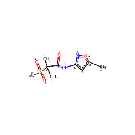 CCC(C)S(=O)(=O)C(C)(C)C(=O)Nc1cc(C(C)(C)C)on1